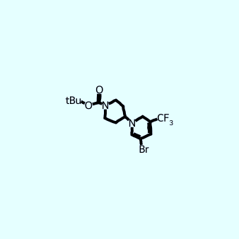 CC(C)(C)OC(=O)N1CCC(N2C=C(Br)C=C(C(F)(F)F)C2)CC1